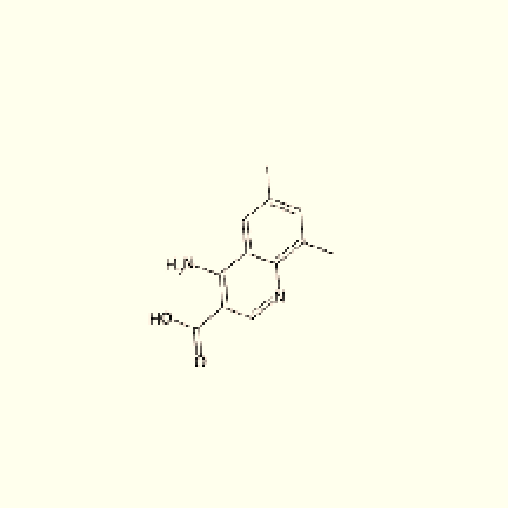 Cc1cc(C)c2ncc(C(=O)O)c(N)c2c1